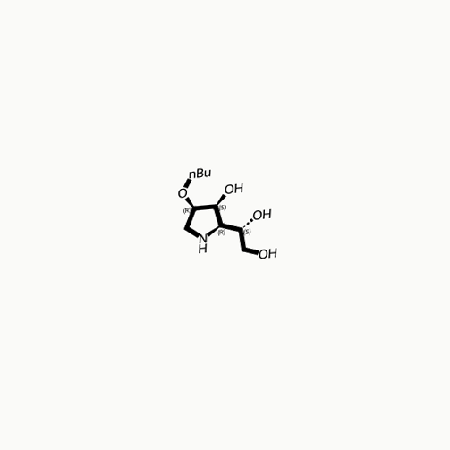 CCCCO[C@@H]1CN[C@H]([C@H](O)CO)[C@@H]1O